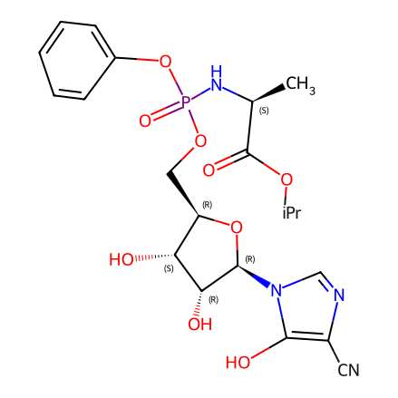 CC(C)OC(=O)[C@H](C)NP(=O)(OC[C@H]1O[C@@H](n2cnc(C#N)c2O)[C@H](O)[C@@H]1O)Oc1ccccc1